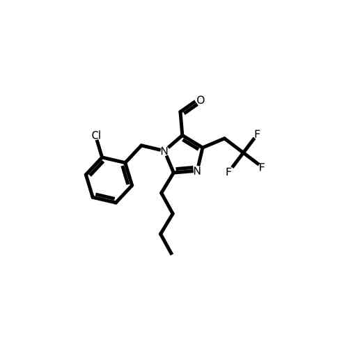 CCCCc1nc(CC(F)(F)F)c(C=O)n1Cc1ccccc1Cl